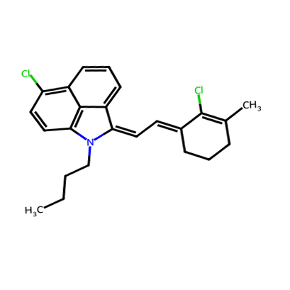 CCCCn1/c(=C/C=C2\CCCC(C)=C2Cl)c2cccc3c(Cl)ccc1c32